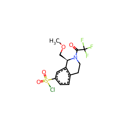 COC[C@@H]1c2cc(S(=O)(=O)Cl)ccc2CCN1C(=O)C(F)(F)F